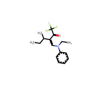 CCC(C)/C(=C/N(CC)c1ccccc1)C(=O)C(F)(F)F